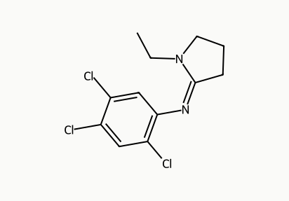 CCN1CCCC1=Nc1cc(Cl)c(Cl)cc1Cl